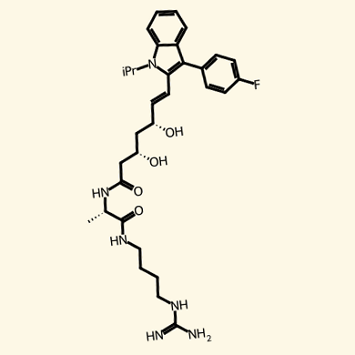 CC(C)n1c(/C=C/[C@H](O)C[C@H](O)CC(=O)N[C@@H](C)C(=O)NCCCCNC(=N)N)c(-c2ccc(F)cc2)c2ccccc21